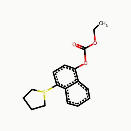 CCOC(=O)Oc1ccc([S+]2CCCC2)c2ccccc12